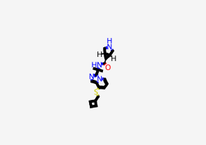 CC(C)(NC(=O)[C@H]1[C@@H]2CNC[C@@H]21)c1ncc2c(SCC3CCC3)cccn12